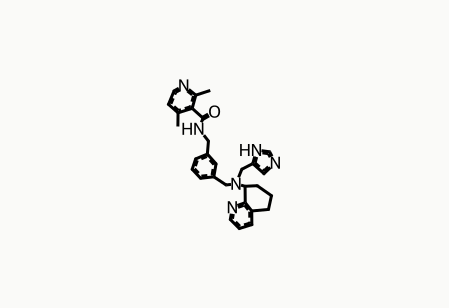 Cc1ccnc(C)c1C(=O)NCc1cccc(CN(Cc2cnc[nH]2)C2CCCc3cccnc32)c1